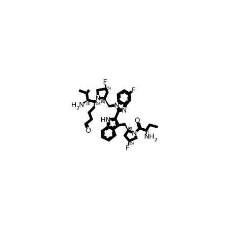 CC[C@H](N)C(=O)N1C[C@@H](F)C[C@H]1Cc1c(-c2nc3cc(F)ccc3n2C[C@@H]2C[C@H](F)CN2[C@@H](CCCC=O)[C@@H](N)C(C)C)[nH]c2ccccc12